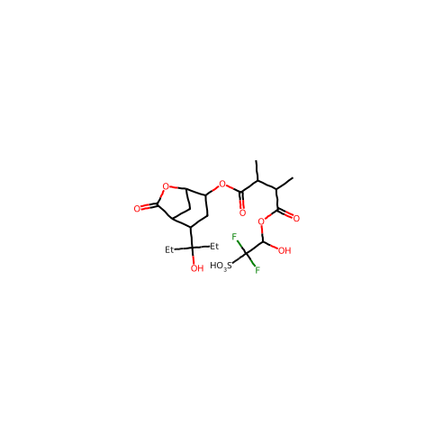 CCC(O)(CC)C1CC(OC(=O)C(C)C(C)C(=O)OC(O)C(F)(F)S(=O)(=O)O)C2CC1C(=O)O2